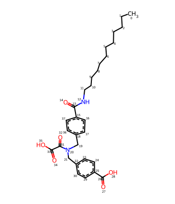 CCCCCCCCCCCCNC(=O)c1ccc(CN(Cc2ccc(C(=O)O)cc2)C(=O)C(=O)O)cc1